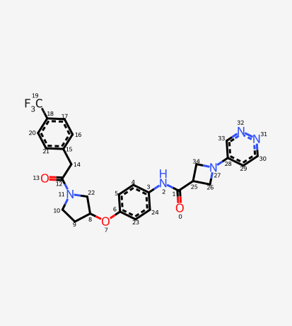 O=C(Nc1ccc(OC2CCN(C(=O)Cc3ccc(C(F)(F)F)cc3)C2)cc1)C1CN(c2ccnnc2)C1